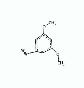 COc1cc(Br)cc(OC)c1.[Ar]